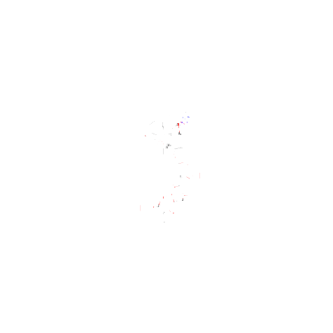 CC[C@]12c3c4ccc(O)c3O[C@H]1C(OC(=O)C[C@H](O)C(=O)O[C@@H](C)C(=O)O[C@@H](C)C(=O)O)=CC[C@@]2(O)[C@H](NC)C4